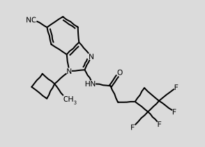 CC1(n2c(NC(=O)CC3CC(F)(F)C3(F)F)nc3ccc(C#N)cc32)CCC1